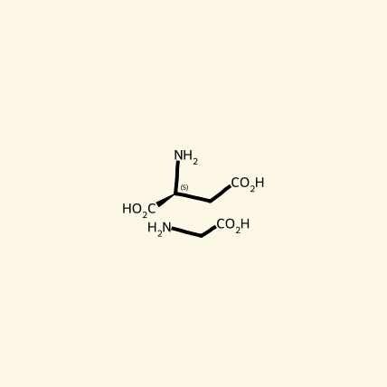 NCC(=O)O.N[C@@H](CC(=O)O)C(=O)O